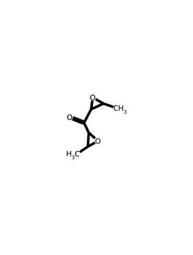 CC1OC1C(=O)C1OC1C